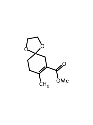 COC(=O)C1=C(C)CCC2(C1)OCCO2